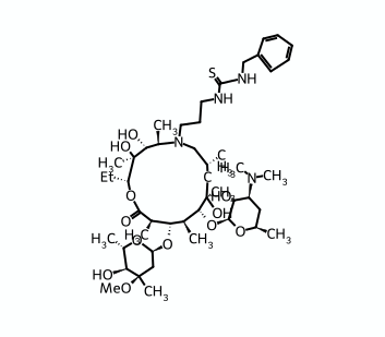 CC[C@H]1OC(=O)[C@H](C)[C@@H](O[C@H]2C[C@@](C)(OC)[C@@H](O)[C@H](C)O2)[C@H](C)[C@@H](O[C@@H]2O[C@H](C)C[C@H](N(C)C)[C@H]2O)[C@](C)(O)C[C@@H](C)CN(CCCNC(=S)NCc2ccccc2)[C@H](C)[C@@H](O)[C@]1(C)O